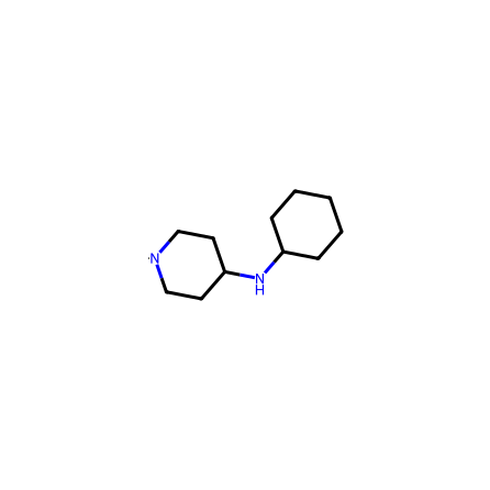 C1CCC(NC2CC[N]CC2)CC1